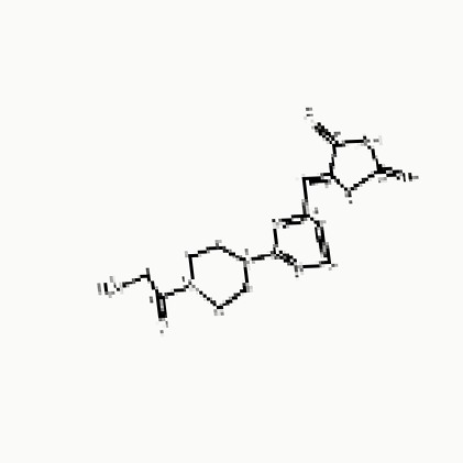 NCC(=O)N1CCN(c2nccc(/C=C3\SC(=O)NC3=O)n2)CC1